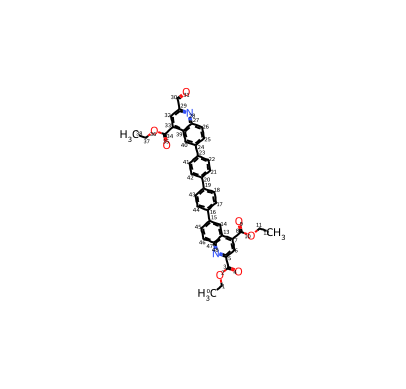 CCOC(=O)c1cc(C(=O)OCC)c2cc(-c3ccc(-c4ccc(-c5ccc6nc(C=O)cc(C(=O)OCC)c6c5)cc4)cc3)ccc2n1